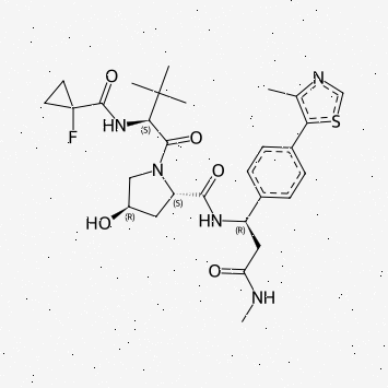 CNC(=O)C[C@@H](NC(=O)[C@@H]1C[C@@H](O)CN1C(=O)[C@@H](NC(=O)C1(F)CC1)C(C)(C)C)c1ccc(-c2scnc2C)cc1